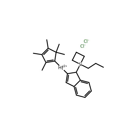 CCC[Si]1(C2[C]([Hf+2][C]3=C(C)C(C)=C(C)C3(C)C)=Cc3ccccc32)CCC1.[Cl-].[Cl-]